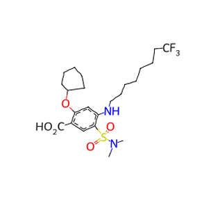 CN(C)S(=O)(=O)c1cc(C(=O)O)c(OC2CCCCC2)cc1NCCCCCCCC(F)(F)F